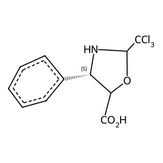 O=C(O)C1OC(C(Cl)(Cl)Cl)N[C@H]1c1ccccc1